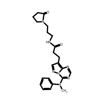 CN(c1ccccc1)c1ncnc2c(CCC(=O)NCCCN3CCCC3=O)cnn12